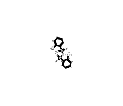 O=S(=O)(OS(=O)(=O)c1ccccc1O)c1ccccc1O